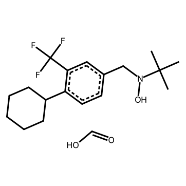 CC(C)(C)N(O)Cc1ccc(C2CCCCC2)c(C(F)(F)F)c1.O=CO